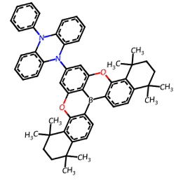 CC1(C)CCC(C)(C)c2c1ccc1c2Oc2cc(N3c4ccccc4N(c4ccccc4)c4ccccc43)cc3c2B1c1ccc2c(c1O3)C(C)(C)CCC2(C)C